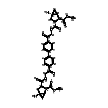 CC(C)(C)OC(=O)N1C2C[C@@H]2C[C@H]1C(=O)OCC(=O)c1ccc(-c2ccc(C(=O)COC(=O)[C@@H]3C[C@H]4CC4N3C(=O)OC(C)(C)C)cc2)cc1